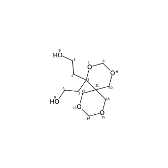 OCCC1(CCO)OCOCC12COCOC2